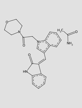 CC(N)=O.O=C1Nc2ccccc2/C1=C/c1cn(CC(=O)N2CCOCC2)c2ccccc12